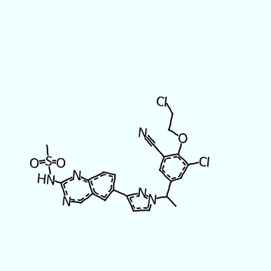 CC(c1cc(Cl)c(OCCCl)c(C#N)c1)n1ccc(-c2ccc3nc(NS(C)(=O)=O)ncc3c2)n1